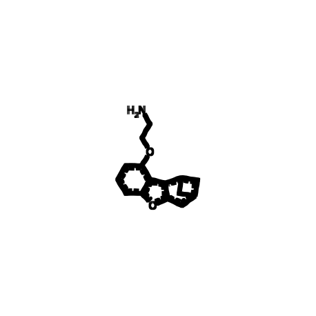 NCCOc1cccc2oc3cc4cc(c3c12)C4